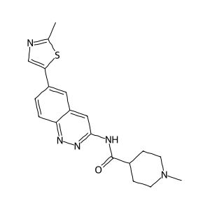 Cc1ncc(-c2ccc3nnc(NC(=O)C4CCN(C)CC4)cc3c2)s1